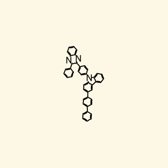 c1ccc(-c2ccc(-c3ccc4c(c3)c3ccccc3n4-c3ccc(-c4nc5ccccc5nc4-c4ccccc4)cc3)cc2)cc1